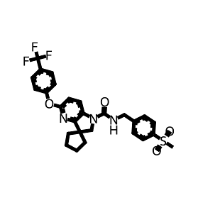 CS(=O)(=O)c1ccc(CNC(=O)N2CC3(CCCC3)c3nc(Oc4ccc(C(F)(F)F)cc4)ccc32)cc1